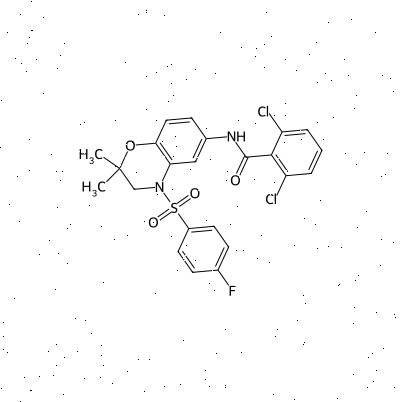 CC1(C)CN(S(=O)(=O)c2ccc(F)cc2)c2cc(NC(=O)c3c(Cl)cccc3Cl)ccc2O1